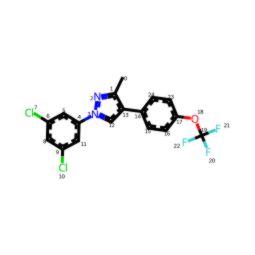 Cc1nn(-c2cc(Cl)cc(Cl)c2)cc1-c1ccc(OC(F)(F)F)cc1